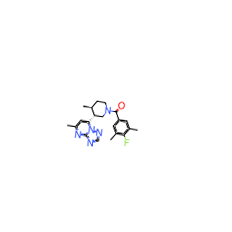 Cc1cc([C@H]2CN(C(=O)c3cc(C)c(F)c(C)c3)CC[C@@H]2C)n2ncnc2n1